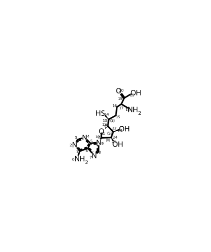 Nc1ncnc2c1ncn2[C@H]1O[C@H]([C@@H](S)CCC(N)C(=O)O)[C@@H](O)[C@H]1O